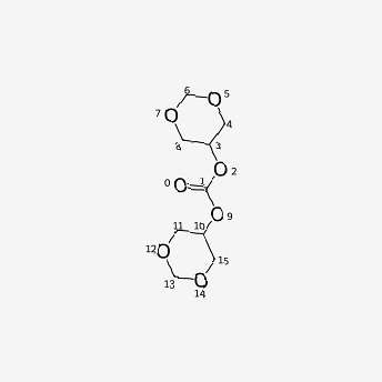 O=C(OC1COCOC1)OC1COCOC1